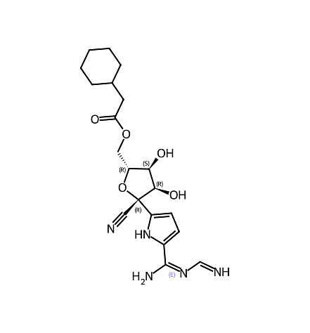 N#C[C@@]1(c2ccc(/C(N)=N\C=N)[nH]2)O[C@H](COC(=O)CC2CCCCC2)[C@@H](O)[C@H]1O